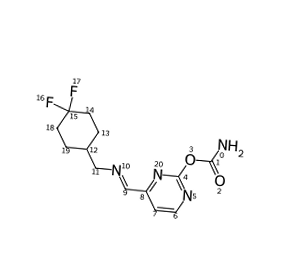 NC(=O)Oc1nccc(C=NCC2CCC(F)(F)CC2)n1